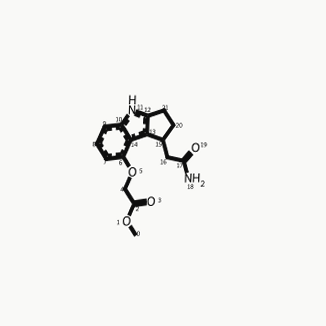 COC(=O)COc1cccc2[nH]c3c(c12)C(CC(N)=O)CC3